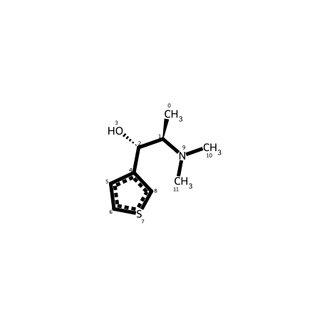 C[C@H]([C@@H](O)c1ccsc1)N(C)C